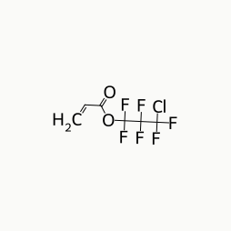 C=CC(=O)OC(F)(F)C(F)(F)C(F)(F)Cl